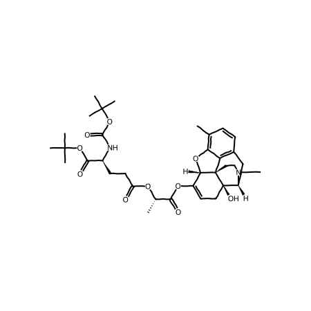 Cc1ccc2c3c1O[C@H]1C(OC(=O)[C@H](C)OC(=O)CC[C@H](NC(=O)OC(C)(C)C)C(=O)OC(C)(C)C)=CC[C@@]4(O)[C@@H](C2)N(C)CC[C@]314